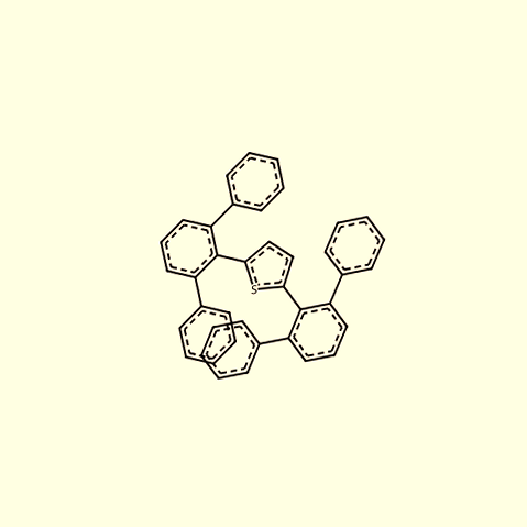 c1ccc(-c2cccc(-c3ccccc3)c2-c2ccc(-c3c(-c4ccccc4)cccc3-c3ccccc3)s2)cc1